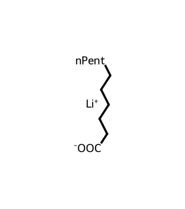 CCCCCCCCCCC(=O)[O-].[Li+]